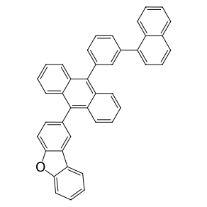 c1cc(-c2cccc3ccccc23)cc(-c2c3ccccc3c(-c3ccc4oc5ccccc5c4c3)c3ccccc23)c1